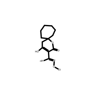 CCCC(=NOCC)C1=C(O)CC2(CCCCCC2)OC1=O